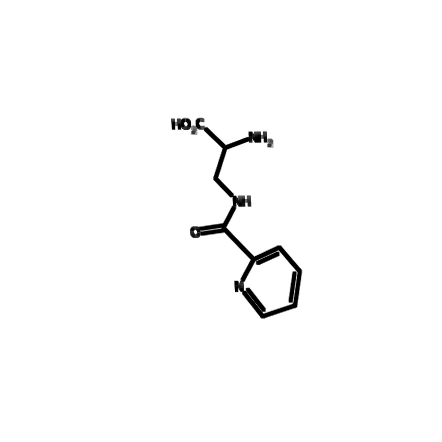 NC(CNC(=O)c1ccccn1)C(=O)O